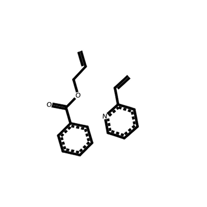 C=CCOC(=O)c1ccccc1.C=Cc1ccccn1